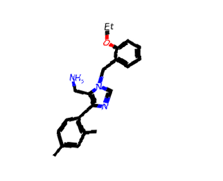 CCOc1ccccc1Cn1cnc(-c2ccc(C)cc2C)c1CN